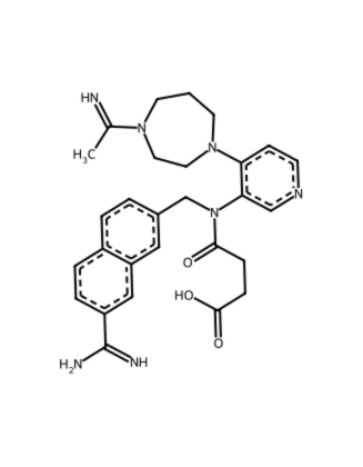 CC(=N)N1CCCN(c2ccncc2N(Cc2ccc3ccc(C(=N)N)cc3c2)C(=O)CCC(=O)O)CC1